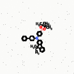 CC1(C)c2ccccc2-c2ccc(N(C3=CCC(c4ccccc4)C=C3)c3ccc(B4OC(C)(C)C(C)(C)O4)cc3)cc21